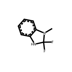 CN1c2ccccc2NC1(F)F